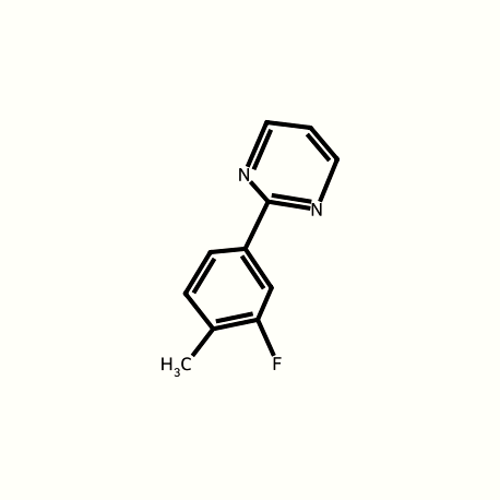 Cc1ccc(-c2ncccn2)cc1F